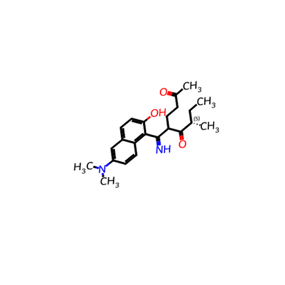 CC[C@H](C)C(=O)C(CCC(C)=O)C(=N)c1c(O)ccc2cc(N(C)C)ccc12